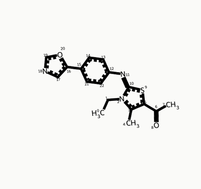 CCn1c(C)c(C(C)=O)sc1=Nc1ccc(-c2cnco2)cc1